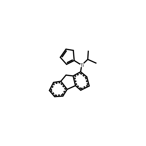 C[CH](C)[Ti]([C]1=CC=CC1)[c]1cccc2c1Cc1ccccc1-2